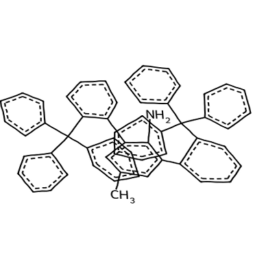 Cc1cc(-c2ccccc2C(c2ccccc2)(c2ccccc2)c2ccccc2)c(N)c(-c2ccccc2C(c2ccccc2)(c2ccccc2)c2ccccc2)c1